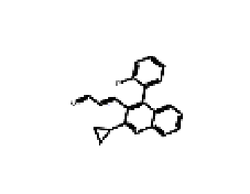 O=C/C=C/c1c(C2CC2)nc2ccccc2c1-c1ccccc1F